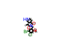 C=CC(=O)N(Cc1cc(Br)c(Cl)cc1OC)C(=O)C1CCNCC1